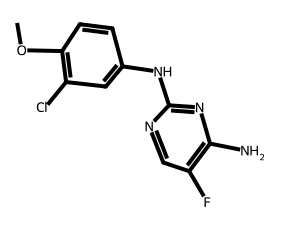 COc1ccc(Nc2ncc(F)c(N)n2)cc1Cl